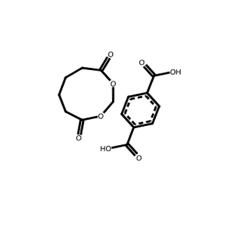 O=C(O)c1ccc(C(=O)O)cc1.O=C1CCCCC(=O)OCO1